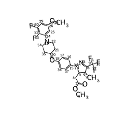 COC(=O)CC1[C@H](C)C(C(F)(F)F)=NN1c1ccc(OC2CCN(c3cc(OC)cc(F)c3F)CC2)cc1